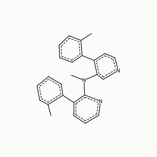 Cc1ccccc1-c1ccncc1N(C)c1ncccc1-c1ccccc1C